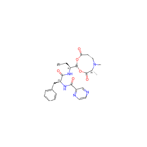 CC(C)C[C@H](NC(=O)[C@H](Cc1ccccc1)NC(=O)c1cnccn1)B1OC(=O)CCN(C)[C@H](C)C(=O)O1